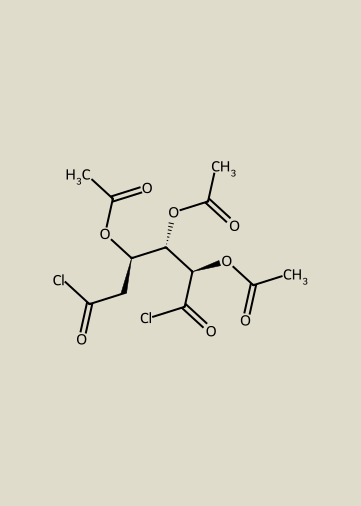 CC(=O)O[C@@H]([C@@H](CC(=O)Cl)OC(C)=O)[C@@H](OC(C)=O)C(=O)Cl